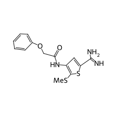 CSc1sc(C(=N)N)cc1NC(=O)COc1ccccc1